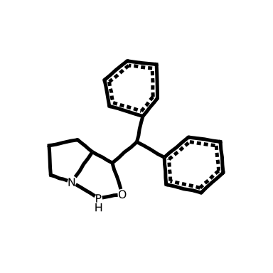 c1ccc(C(c2ccccc2)C2OPN3CCCC23)cc1